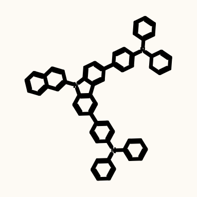 C1=CCC(N(c2ccccc2)c2ccc(-c3ccc4c(c3)c3cc(-c5ccc(N(c6ccccc6)c6ccccc6)cc5)ccc3n4-c3ccc4ccccc4c3)cc2)C=C1